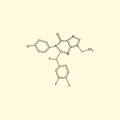 CCn1cnc2c(=O)n(-c3ccc(Cl)cc3)c(C(F)c3ccc(F)c(F)c3)nc21